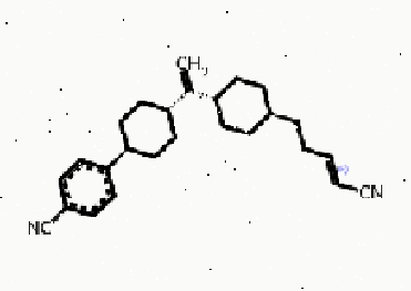 C=C([C@H]1CC[C@H](CC/C=C/C#N)CC1)[C@H]1CC[C@H](c2ccc(C#N)cc2)CC1